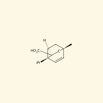 CC(C)[C@@]12C=C[C@@](C)(CC1)C[C@@H]2C(=O)O